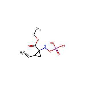 C=CC1CC1(NOP(=O)(O)O)C(=O)OCC